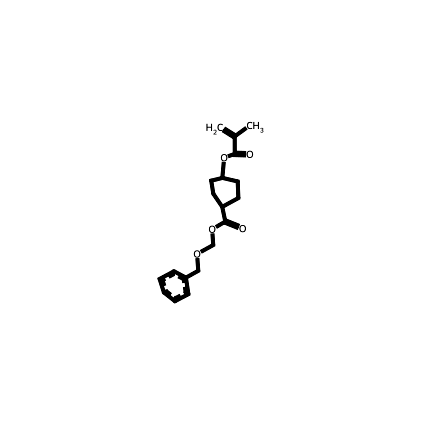 C=C(C)C(=O)OC1CCC(C(=O)OCOCc2ccccc2)CC1